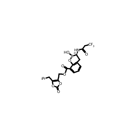 CC(C)Cc1oc(=O)oc1COC(=O)c1cccc2c1OB(O)[C@@H](NC(=O)CC(F)(F)F)C2